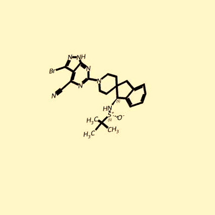 CC(C)(C)[S@@+]([O-])N[C@@H]1c2ccccc2CC12CCN(c1nc(C#N)c3c(Br)n[nH]c3n1)CC2